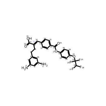 Nc1cc(N)cc(CC/C(=C\c2ccc(C(=O)Oc3ccc(OC(F)(F)C(F)F)cc3)cc2)C(=O)O)c1